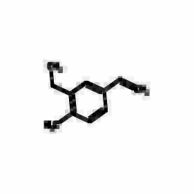 C=[C]c1ccc(C)c(CC)c1